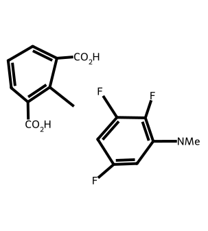 CNc1cc(F)cc(F)c1F.Cc1c(C(=O)O)cccc1C(=O)O